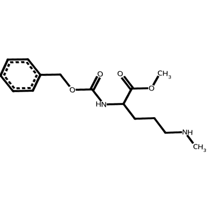 CNCCCC(NC(=O)OCc1ccccc1)C(=O)OC